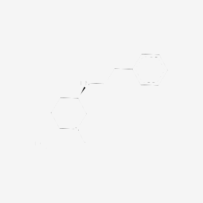 O=C(O)[C@@H]1CC[C@@H](NOCc2ccccc2)CN1I